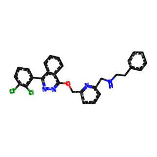 Clc1cccc(-c2nnc(OCc3cccc(CNCCc4ccccc4)n3)c3ccccc23)c1Cl